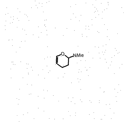 CNC1CCC=CO1